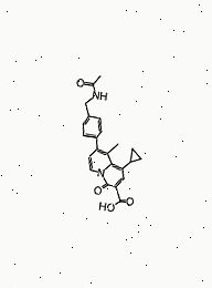 CC(=O)NCc1ccc(-c2ccn3c(=O)c(C(=O)O)cc(C4CC4)c3c2C)cc1